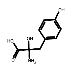 NC(O)(Cc1ccc(O)cc1)C(=O)O